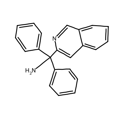 NC(c1ccccc1)(c1ccccc1)c1cc2ccccc2cn1